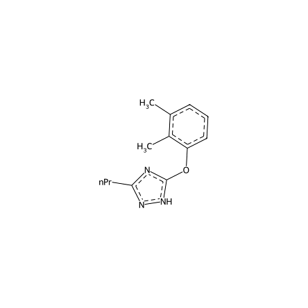 CCCc1n[nH]c(Oc2cccc(C)c2C)n1